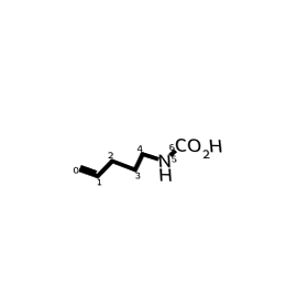 C=CCCCNC(=O)O